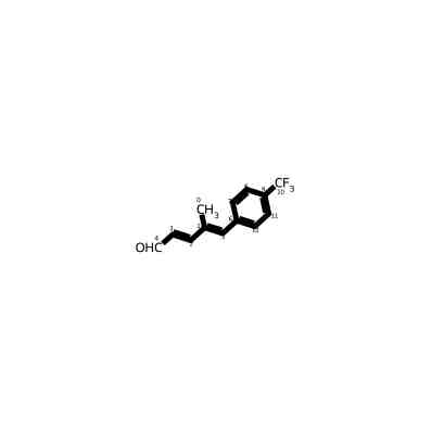 CC(/C=C/C=O)=C\c1ccc(C(F)(F)F)cc1